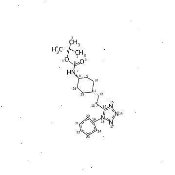 CC(C)(C)OC(=O)N[C@H]1CC[C@H](CSc2nnnn2-c2ccccc2)CC1